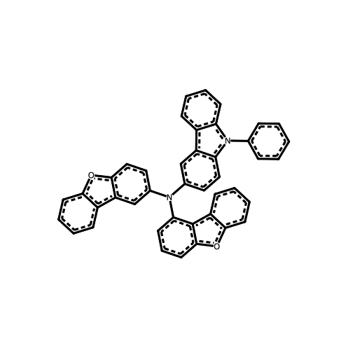 c1ccc(-n2c3ccccc3c3cc(N(c4ccc5oc6ccccc6c5c4)c4cccc5oc6ccccc6c45)ccc32)cc1